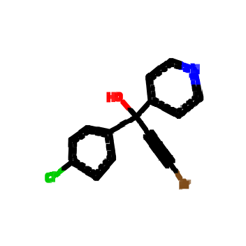 OC(C#CBr)(c1ccncc1)c1ccc(Cl)cc1